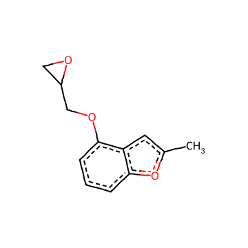 Cc1cc2c(OCC3CO3)cccc2o1